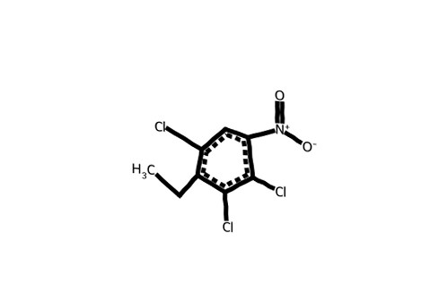 CCc1c(Cl)cc([N+](=O)[O-])c(Cl)c1Cl